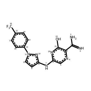 N=C(N)c1ncc(Nc2ccn(-c3ccc(C(F)(F)F)cc3)n2)nc1O